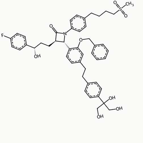 CS(=O)(=O)CCCCc1ccc(N2C(=O)[C@H](CC[C@H](O)c3ccc(F)cc3)[C@H]2c2ccc(CCc3ccc(C(O)(CO)CO)cc3)cc2OCc2ccccc2)cc1